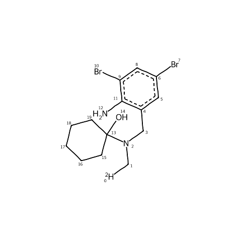 [2H]CN(Cc1cc(Br)cc(Br)c1N)C1(O)CCCCC1